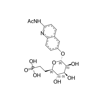 CC(=O)Nc1ccc2cc(O[C@H]3O[C@H](CCP(=O)(O)O)[C@@H](O)[C@H](O)[C@@H]3O)ccc2n1